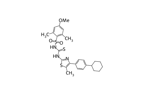 COc1cc(C)c(S(=O)(=O)NC(=S)Nc2nc(-c3ccc(C4CCCCC4)cc3)c(C)s2)c(C)c1